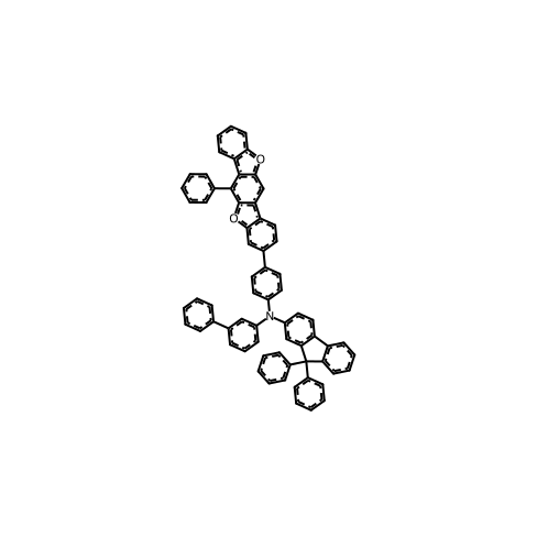 c1ccc(-c2cccc(N(c3ccc(-c4ccc5c(c4)oc4c(-c6ccccc6)c6c(cc45)oc4ccccc46)cc3)c3ccc4c(c3)C(c3ccccc3)(c3ccccc3)c3ccccc3-4)c2)cc1